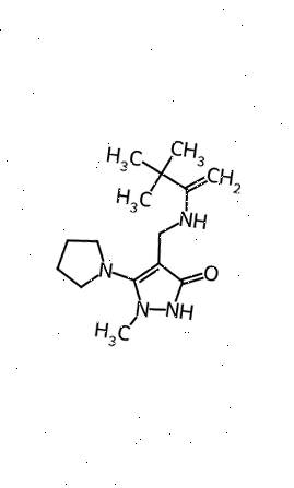 C=C(NCc1c(N2CCCC2)n(C)[nH]c1=O)C(C)(C)C